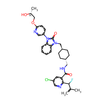 C=C(C)C(F)c1ncc(Cl)cc1C(=O)NC[C@H]1CC[C@H](Cn2c(=O)n(-c3ccc(OC[C@@H](C)O)nc3)c3ccccc32)CC1